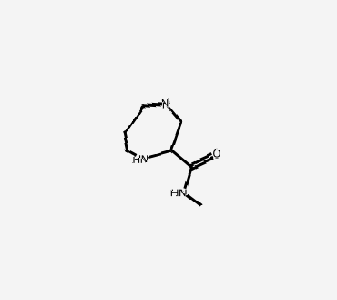 CNC(=O)C1C[N]CCCN1